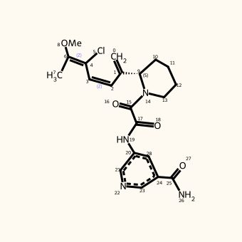 C=C(/C=C\C(Cl)=C(/C)OC)[C@@H]1CCCCN1C(=O)C(=O)Nc1cncc(C(N)=O)c1